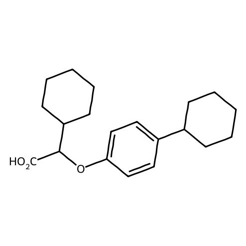 O=C(O)C(Oc1ccc(C2CCCCC2)cc1)C1CCCCC1